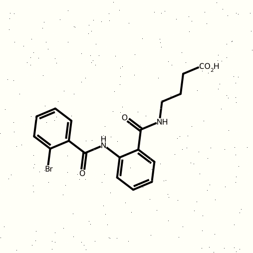 O=C(O)CCCNC(=O)c1ccccc1NC(=O)c1ccccc1Br